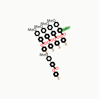 CO[C@H]1CC[C@H](c2ccc(C(=O)Oc3ccc([S])cc3)cc2)CC1.CO[C@H]1CC[C@H](c2ccc(C(=O)Oc3ccc([S])cc3)cc2)CC1.CO[C@H]1CC[C@H](c2ccc(C(=O)Oc3ccc([S])cc3)cc2)CC1.CO[C@H]1CC[C@H](c2ccc(C(=O)Oc3ccc([S])cc3)cc2)CC1.CO[C@H]1CC[C@H](c2ccc(C(=O)Oc3ccc([S])cc3)cc2)CC1.F.F.F.F.F